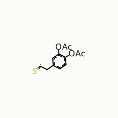 CC(=O)Oc1ccc(C[C]=S)cc1OC(C)=O